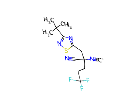 [C-]#[N+]C(C#N)(CCC(F)(F)F)Cc1nc(C(C)(C)C)ns1